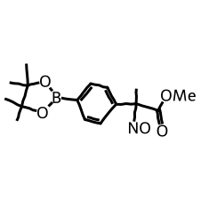 COC(=O)C(C)(N=O)c1ccc(B2OC(C)(C)C(C)(C)O2)cc1